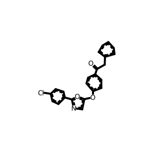 O=C(Cc1ccccc1)c1ccc(Oc2cnc(-c3ccc(Cl)cc3)o2)cc1